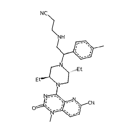 CC[C@H]1CN(C(CNCCC#N)c2ccc(C)cc2)[C@H](CC)CN1c1nc(=O)n(C)c2ccc(C#N)nc12